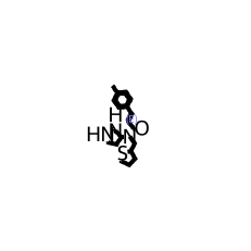 Cc1ccc(/C=C/C(=O)N(CC2CCCS2)C2CCNN2)cc1